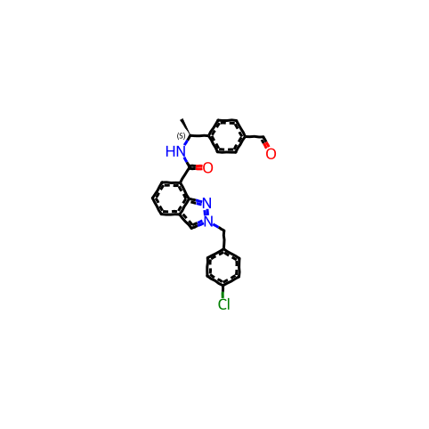 C[C@H](NC(=O)c1cccc2cn(Cc3ccc(Cl)cc3)nc12)c1ccc(C=O)cc1